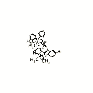 COC(C)c1ncccc1-c1[nH]c2ccc(Br)cc2c1CC(F)(F)CO[Si](c1ccccc1)(c1ccccc1)C(C)(C)C